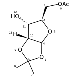 CC(=O)OC[C@H]1OC2OC(C)(C)O[C@@H]2[C@@H]1O